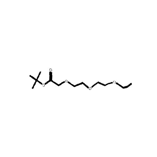 CCOCCOCCOCC(=O)OC(C)(C)C